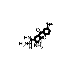 CN(C)c1ccc2oc3nc(N)c(C(=N)NN)cc3c(=O)c2c1